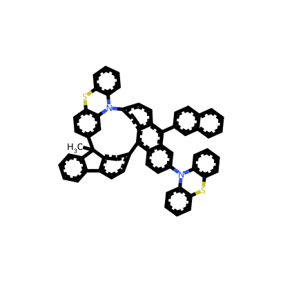 CC12c3ccc4c(c3)N(c3ccc5c(-c6ccc7ccccc7c6)c6cc(N7c8ccccc8Sc8ccccc87)ccc6c(c5c3)-c3ccc(c1c3)-c1ccccc12)c1ccccc1S4